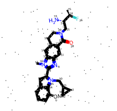 COc1cccc2cc(-c3nc4cc5c(cc4n3C)CCN(C[C@H](N)[C@@H](C)F)C5=O)n(CC3CC3)c12